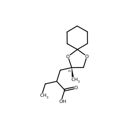 CCC(C[C@@]1(C)COC2(CCCCC2)O1)C(=O)O